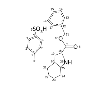 Cc1ccc(S(=O)(=O)O)cc1.O=C(OCc1ccccc1)C1CC2CCCCC2N1